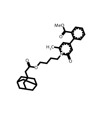 COC(=O)c1ccccc1-c1cc(C)n(CCCCOC(=O)CC23CC4CC(CC(C4)C2)C3)c(=O)c1